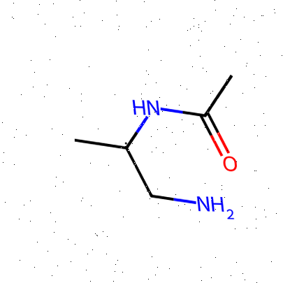 C[C](CN)NC(C)=O